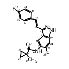 CC1(C(=O)Nc2cc3c(/C=C/c4ccc(F)cc4)n[nH]c3cc2F)CC1